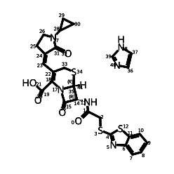 O=C(CSc1nc2ccccc2s1)N[C@@H]1C(=O)N2C(C(=O)O)=C(C=C3CCN(C4CC4)C3=O)CS[C@H]12.c1c[nH]cn1